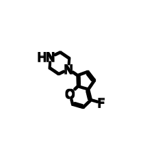 Fc1ccoc2c(N3CCNCC3)ccc1-2